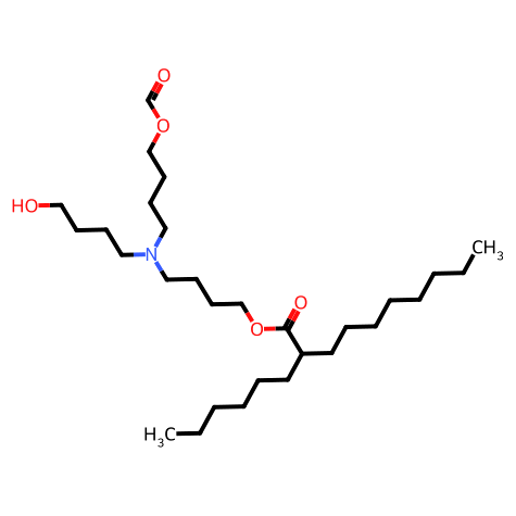 CCCCCCCCC(CCCCCC)C(=O)OCCCCN(CCCCO)CCCCOC=O